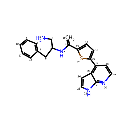 C=C(NC(CN)Cc1ccccc1)c1ccc(-c2ccnc3[nH]ccc23)s1